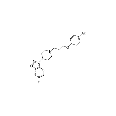 CC(=O)C1=CCC(OCCCN2CCC(c3noc4cc(F)ccc34)CC2)C=C1